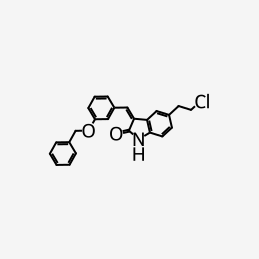 O=C1Nc2ccc(CCCl)cc2C1=Cc1cccc(OCc2ccccc2)c1